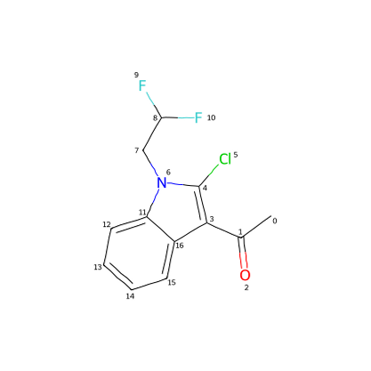 CC(=O)c1c(Cl)n(CC(F)F)c2ccccc12